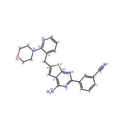 N#Cc1cccc(-c2nc(N)c3cc(Cc4cccnc4N4CCOCC4)sc3n2)c1